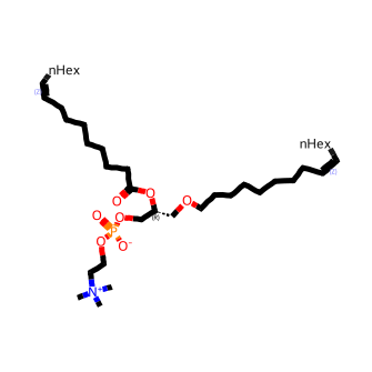 CCCCCC/C=C\CCCCCCCCOC[C@H](COP(=O)([O-])OCC[N+](C)(C)C)OC(=O)CCCCCCC/C=C\CCCCCC